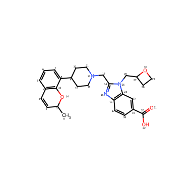 CC1C=Cc2cccc(C3CCN(Cc4nc5ccc(C(=O)O)cc5n4CC4CCO4)CC3)c2O1